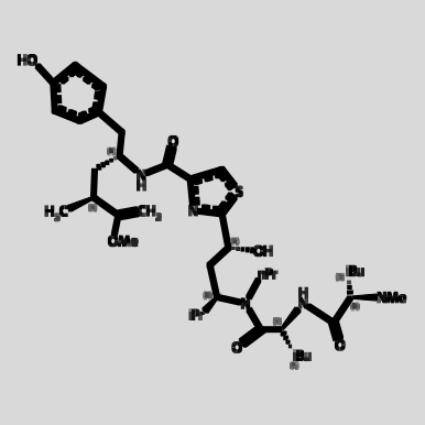 C=C(OC)[C@@H](C)C[C@H](Cc1ccc(O)cc1)NC(=O)c1csc([C@H](O)C[C@H](C(C)C)N(CCC)C(=O)[C@@H](NC(=O)[C@H](NC)[C@@H](C)CC)[C@@H](C)CC)n1